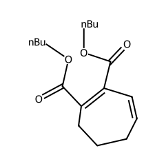 CCCCOC(=O)C1=C(C(=O)OCCCC)CCCC=C1